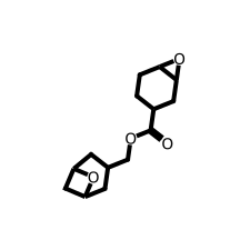 O=C(OCC1CC2CC(C1)O2)C1CCC2OC2C1